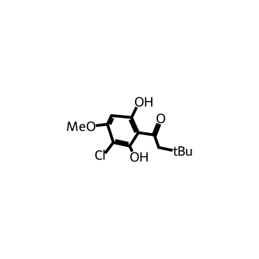 COc1cc(O)c(C(=O)CC(C)(C)C)c(O)c1Cl